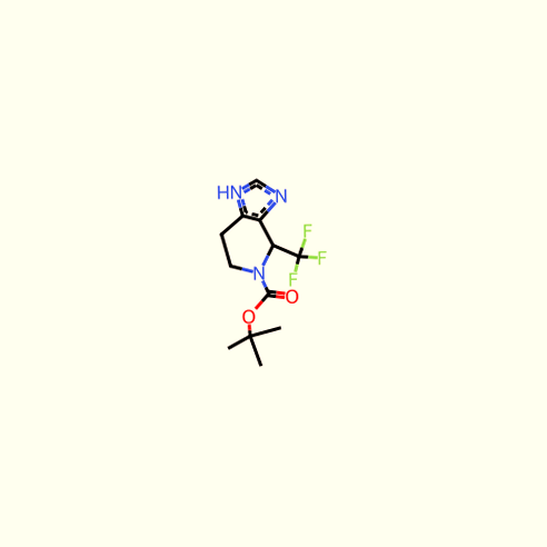 CC(C)(C)OC(=O)N1CCc2[nH]cnc2C1C(F)(F)F